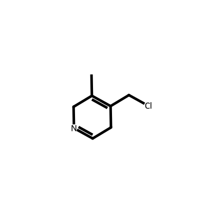 CC1=C(CCl)CC=NC1